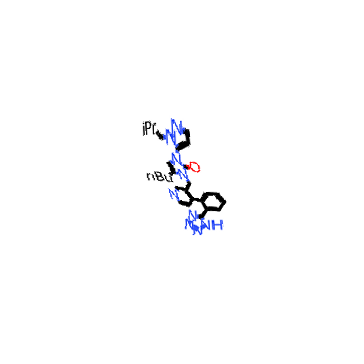 CCCCc1cn(-c2ccnn2CC(C)C)c(=O)n1Cc1cnccc1-c1ccccc1-c1nnn[nH]1